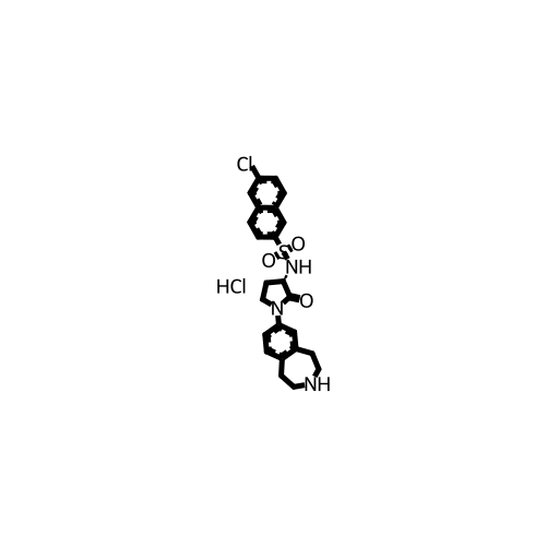 Cl.O=C1[C@@H](NS(=O)(=O)c2ccc3cc(Cl)ccc3c2)CCN1c1ccc2c(c1)CCNCC2